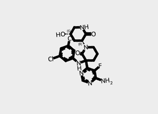 Nc1ncnc(C2(Nc3cc(Cl)cc(Cl)c3)CCCN([C@@H]3C[C@H](O)CNC3=O)C2=O)c1F